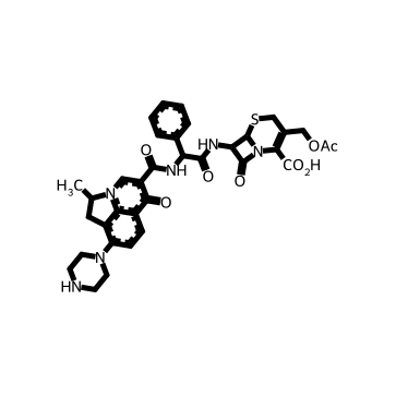 CC(=O)OCC1=C(C(=O)O)N2C(=O)C(NC(=O)C(NC(=O)c3cn4c5c(c(N6CCNCC6)ccc5c3=O)CC4C)c3ccccc3)C2SC1